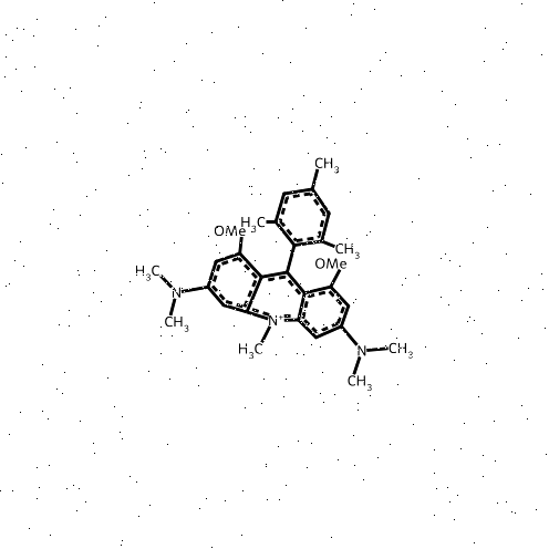 COc1cc(N(C)C)cc2c1c(-c1c(C)cc(C)cc1C)c1c(OC)cc(N(C)C)cc1[n+]2C